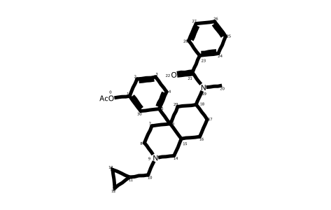 CC(=O)Oc1cccc(C23CCN(CC4CC4)CC2CCC(N(C)C(=O)c2ccccc2)C3)c1